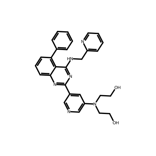 OCCN(CCO)c1cncc(-c2nc(NCc3ccccn3)c3c(-c4ccccc4)cccc3n2)c1